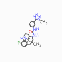 Cn1nnnc1-c1cccc(NC(=O)NC(CC(C)(C)Cc2ccc(F)cc2)C2CCCNC2)c1